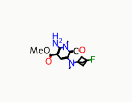 COC(=O)C1=C(N)N(C)C(=C=O)C(N(C)C23CC(F)(C2)C3)=C1